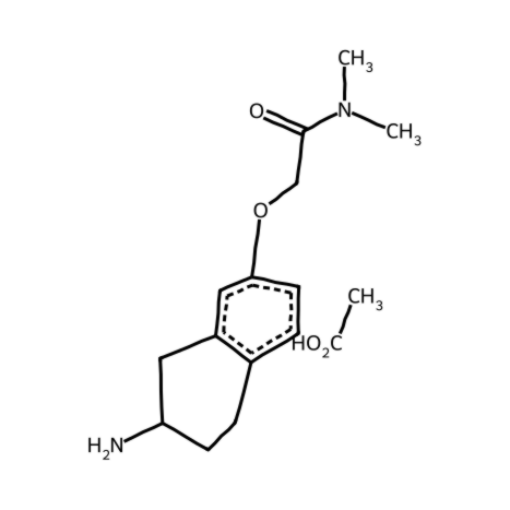 CC(=O)O.CN(C)C(=O)COc1ccc2c(c1)CC(N)CC2